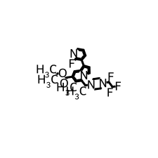 Cc1c(C(=O)OC(C)C)cc2c(-c3cccnc3F)ccn2c1C(C)N1CCN(C(F)C(F)F)CC1